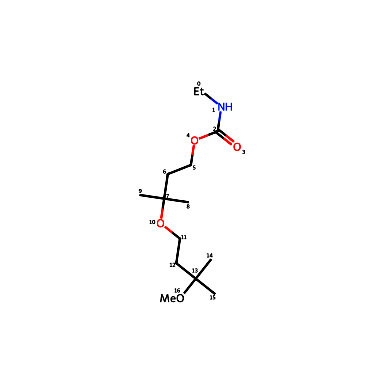 CCNC(=O)OCCC(C)(C)OCCC(C)(C)OC